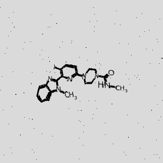 CNC(=O)N1CCN(c2ccc(I)c(-c3nc4ccccc4n3C)n2)CC1